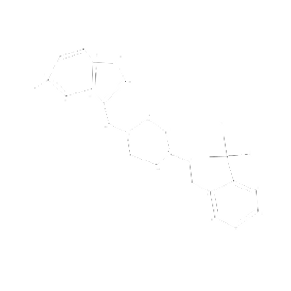 FC(F)(F)c1ccccc1CCN1CCN(Cc2csc3ccc(Cl)cc23)CC1